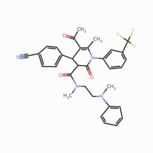 CC(=O)C1=C(C)N(c2cccc(C(F)(F)F)c2)C(=O)C(C(=O)N(C)CCN(C)c2ccccc2)C1c1ccc(C#N)cc1